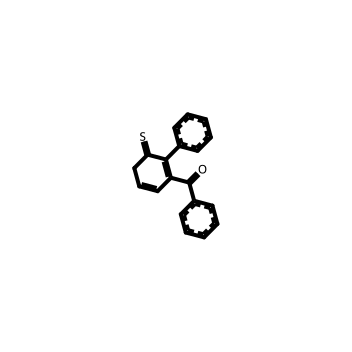 O=C(C1=C(c2ccccc2)C(=S)CC=C1)c1ccccc1